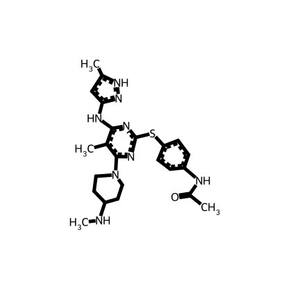 CNC1CCN(c2nc(Sc3ccc(NC(C)=O)cc3)nc(Nc3cc(C)[nH]n3)c2C)CC1